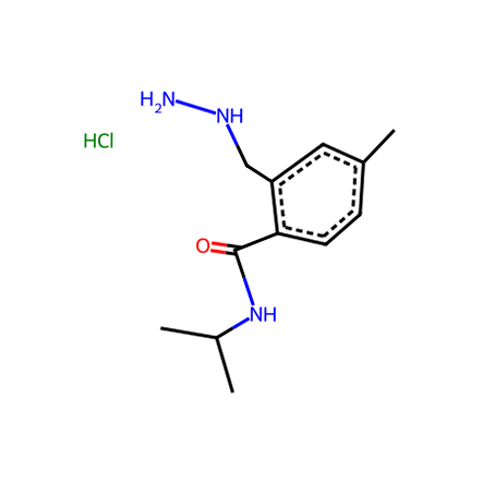 Cc1ccc(C(=O)NC(C)C)c(CNN)c1.Cl